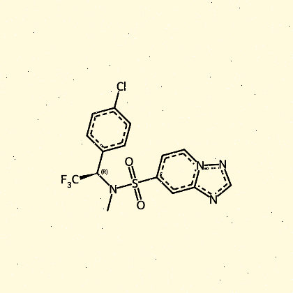 CN([C@H](c1ccc(Cl)cc1)C(F)(F)F)S(=O)(=O)c1ccn2ncnc2c1